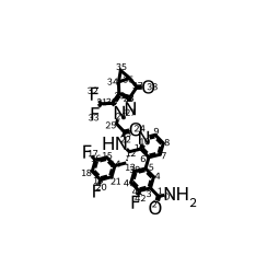 NC(=O)c1cc(-c2cccnc2[C@H](Cc2cc(F)cc(F)c2)NC(=O)Cn2nc3c(c2C(F)F)C2CC2C3=O)ccc1F